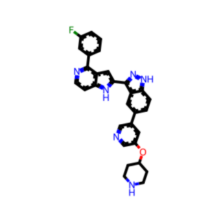 Fc1cccc(-c2nccc3[nH]c(-c4n[nH]c5ccc(-c6cncc(OC7CCNCC7)c6)cc45)cc23)c1